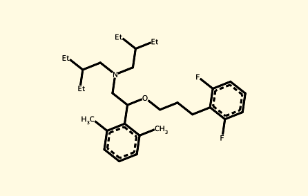 CCC(CC)CN(CC(CC)CC)CC(OCCCc1c(F)cccc1F)c1c(C)cccc1C